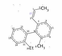 C/C=C\c1cccc(C)c1-c1ccccc1CC